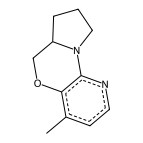 Cc1ccnc2c1OCC1CCCN21